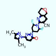 Cc1cc(C)n(-c2ccc(=O)n(C3CC(F)N(c4nc5c(cc4C#N)COCC5)C(F)C3)n2)n1